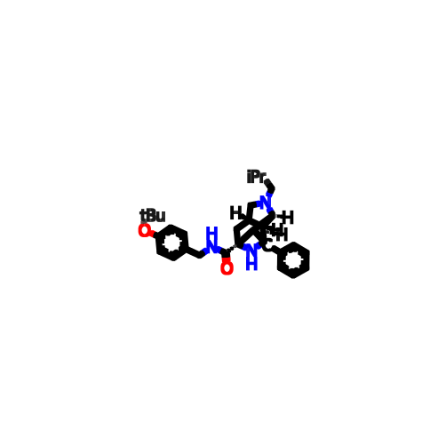 CC(C)CN1C[C@H]2C[C@]3(C(=O)NCc4ccc(OC(C)(C)C)cc4)NC[C@H]2[C@H]1[C@H]3Cc1ccccc1